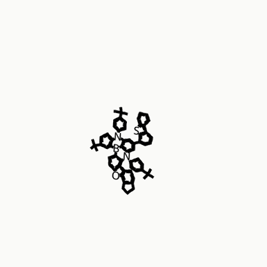 CC(C)(C)c1ccc(N2c3ccc(C(C)(C)C)cc3B3c4ccc5oc6c7c(ccc6c5c4N(c4ccc(C(C)(C)C)cc4)c4cc(-c5cccc6c5sc5ccccc56)cc2c43)CCC7)cc1